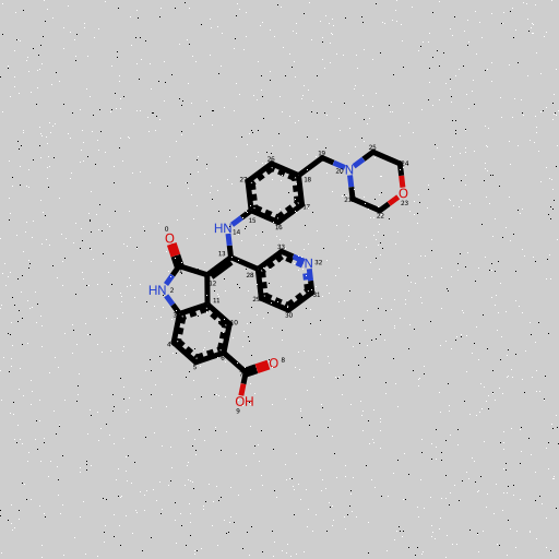 O=C1Nc2ccc(C(=O)O)cc2/C1=C(/Nc1ccc(CN2CCOCC2)cc1)c1cccnc1